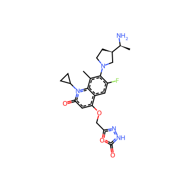 Cc1c(N2CC[C@@H]([C@H](C)N)C2)c(F)cc2c(OCc3n[nH]c(=O)o3)cc(=O)n(C3CC3)c12